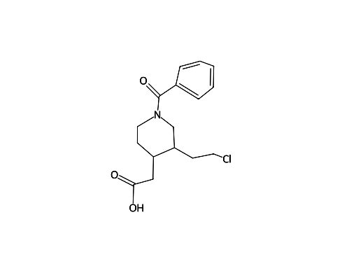 O=C(O)CC1CCN(C(=O)c2ccccc2)CC1CCCl